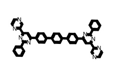 c1ccc(-c2nc(-c3ccc(-c4ccc(-c5ccc(-c6cc(-c7cnccn7)nc(-c7ccccc7)n6)cc5)cc4)cc3)cc(-c3cnccn3)n2)cc1